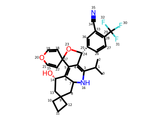 CC(C)C1=C2C(=C3C(CC4(CCC4)C[C@@H]3O)N1)C1(C=COC=C1)O[C@@H]2c1ccc(C(F)(F)F)c(C#N)c1